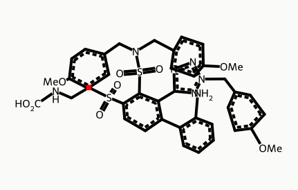 COc1ccc(CN(Cc2ccc(OC)cc2)S(=O)(=O)c2c(S(=O)(=O)CCNC(=O)O)ccc(-c3ccccc3N)c2-c2nnn(Cc3ccc(OC)cc3)n2)cc1